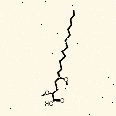 CCCCCCCCCCCCCC(CCC(OC)C(=O)O)OC